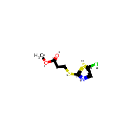 COC(=O)CCSc1ncc(Cl)s1